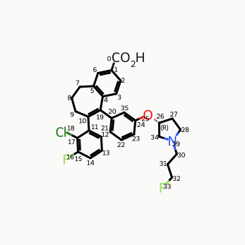 O=C(O)c1ccc2c(c1)CCCC(c1cccc(F)c1Cl)=C2c1cccc(O[C@@H]2CCN(CCCF)C2)c1